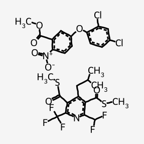 COC(=O)c1cc(Oc2ccc(Cl)cc2Cl)ccc1[N+](=O)[O-].CSC(=O)c1c(C(F)F)nc(C(F)(F)F)c(C(=O)SC)c1CC(C)C